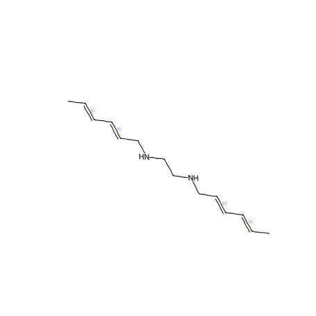 C/C=C/C=C/CNCCNC/C=C/C=C/C